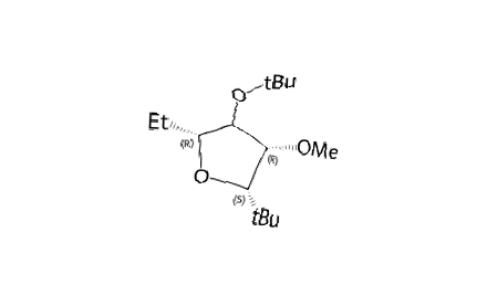 CC[C@H]1O[C@@H](C(C)(C)C)[C@@H](OC)C1OC(C)(C)C